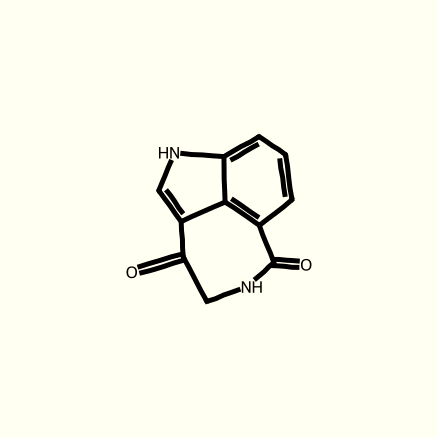 O=C1CNC(=O)c2cccc3[nH]cc1c23